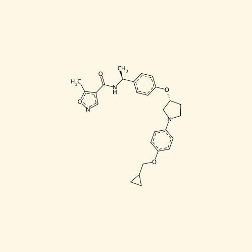 Cc1oncc1C(=O)N[C@@H](C)c1ccc(O[C@@H]2CCN(c3ccc(OCC4CC4)cc3)C2)cc1